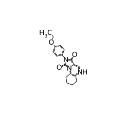 CCOc1ccc(-n2c(=O)c3c[nH]c4c(n-3c2=O)CCCC4)cc1